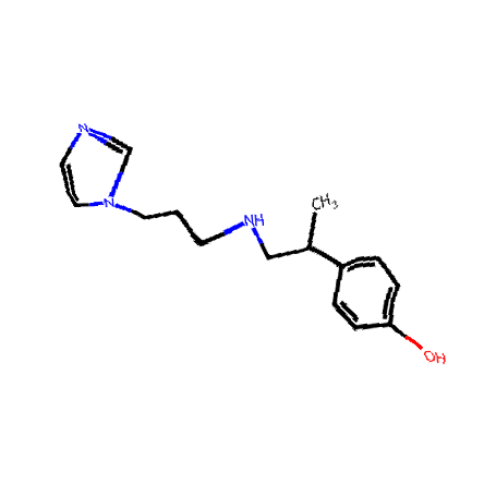 CC(CNCCCn1ccnc1)c1ccc(O)cc1